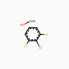 Fc1cccc(F)c1Cl.O=CO